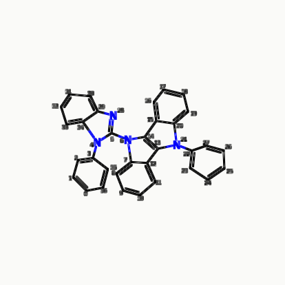 c1ccc(-n2c(-n3c4ccccc4c4c3c3ccccc3n4-c3ccccc3)nc3ccccc32)cc1